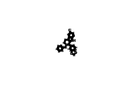 Clc1ccc2[nH]c3c(c2c1)CCN(Cc1ccccc1)C3c1ccc2c(c1)OCO2